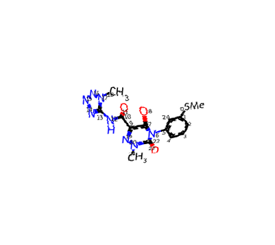 CSc1cccc(-n2c(=O)c(C(=O)Nc3nnnn3C)nn(C)c2=O)c1